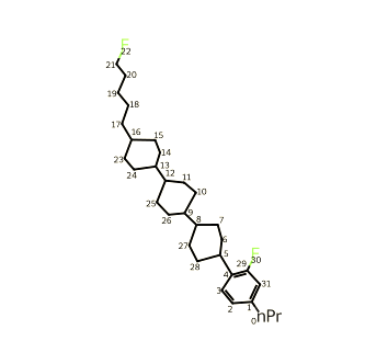 CCCc1ccc(C2CCC(C3CCC(C4CCC(CCCCCF)CC4)CC3)CC2)c(F)c1